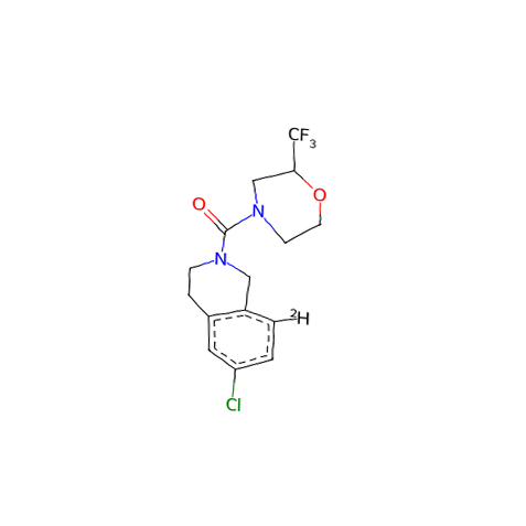 [2H]c1cc(Cl)cc2c1CN(C(=O)N1CCOC(C(F)(F)F)C1)CC2